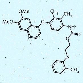 COc1cc2nccc(Oc3ccc(NC(=O)OCCSc4ccccc4C)c(C)c3C)c2cc1OC